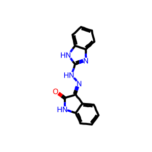 O=C1Nc2ccccc2/C1=N/Nc1nc2ccccc2[nH]1